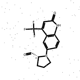 O=C[C@H]1CCCN1c1ccc2[nH]c(=O)cc(C(F)(F)F)c2c1